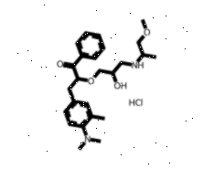 COCC(C)NCC(O)COC(Cc1ccc(N(C)C)c(C)c1)C(=O)c1ccccc1.Cl